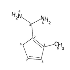 CC1=C(C(N)N)CC=C1